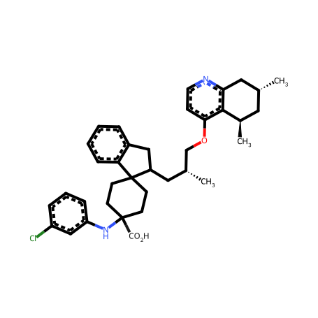 C[C@@H](COc1ccnc2c1[C@H](C)C[C@@H](C)C2)CC1Cc2ccccc2C12CCC(Nc1cccc(Cl)c1)(C(=O)O)CC2